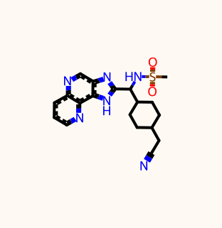 CS(=O)(=O)NC(c1nc2cnc3cccnc3c2[nH]1)C1CCC(CC#N)CC1